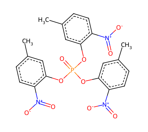 Cc1ccc([N+](=O)[O-])c(OP(=O)(Oc2cc(C)ccc2[N+](=O)[O-])Oc2cc(C)ccc2[N+](=O)[O-])c1